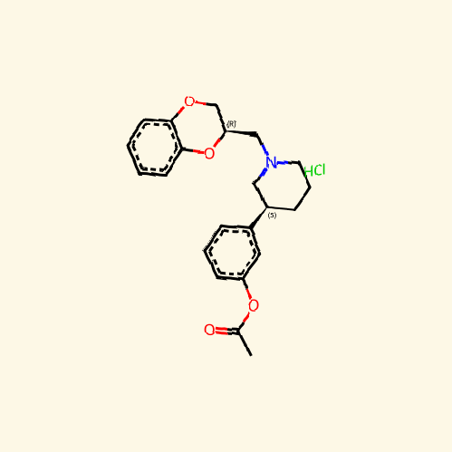 CC(=O)Oc1cccc([C@@H]2CCCN(C[C@@H]3COc4ccccc4O3)C2)c1.Cl